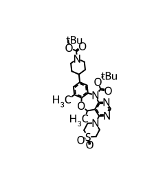 Cc1cc(C2CCN(C(=O)OC(C)(C)C)CC2)cc2c1OC(C)c1c(N3CCS(=O)(=O)CC3)ncnc1N2C(=O)OC(C)(C)C